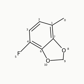 Cc1ccc(F)c2c1OCO2